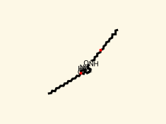 CCCCCCCCCCCCCCCCCCNC(=O)C1=CC=CC(CCCCCCCCCCCCCCCCCC)(C(N)=O)N1